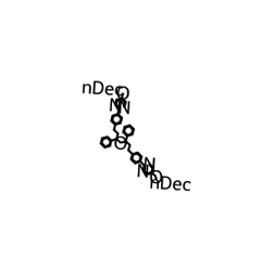 CCCCCCCCCCOc1cnc(-c2ccc(CCC(OC(CCc3ccc(-c4ncc(OCCCCCCCCCC)cn4)cc3)c3ccccc3)c3ccccc3)cc2)nc1